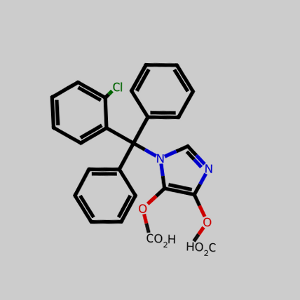 O=C(O)Oc1ncn(C(c2ccccc2)(c2ccccc2)c2ccccc2Cl)c1OC(=O)O